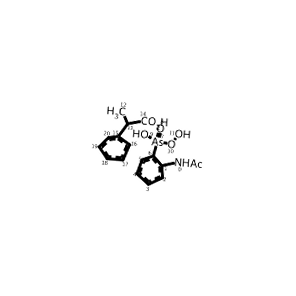 CC(=O)Nc1ccccc1[As](=O)(O)OO.CC(C(=O)O)c1ccccc1